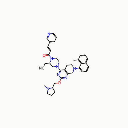 Cc1cccc2cccc(N3CCc4c(nc(OCC5CCCN5C)nc4N4CCN(C(=O)/C=C/c5cccnc5)C(CC#N)C4)C3)c12